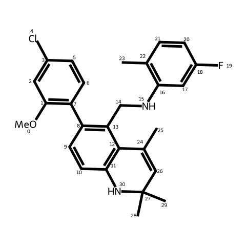 COc1cc(Cl)ccc1-c1ccc2c(c1CNc1cc(F)ccc1C)C(C)=CC(C)(C)N2